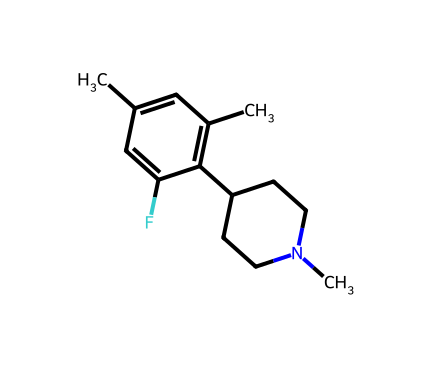 Cc1cc(C)c(C2CCN(C)CC2)c(F)c1